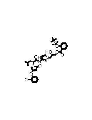 CC(C)C[C@@H](C(=O)Nc1ccn(C[C@@H](O)COC(=O)c2ccccc2O[Si](C)(C)C(C)(C)C)n1)N1CC(Oc2ccccc2Cl)=CC1=O